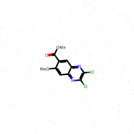 COC(=O)c1cc2nc(Cl)c(Cl)nc2cc1OC